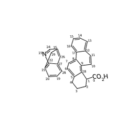 O=C(O)C1CCCc2ccc3c(ccc4ccccc43)c21.c1cc2c3ncc(cc3c1)C2